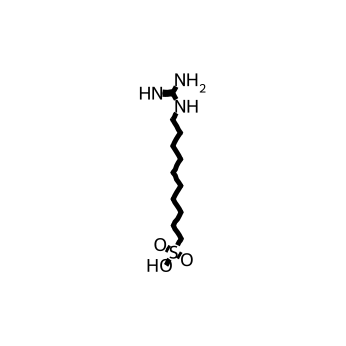 N=C(N)NCCCCCCCCCCS(=O)(=O)O